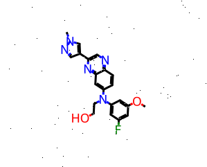 COc1cc(F)cc(N(CCO)c2ccc3ncc(-c4cnn(C)c4)nc3c2)c1